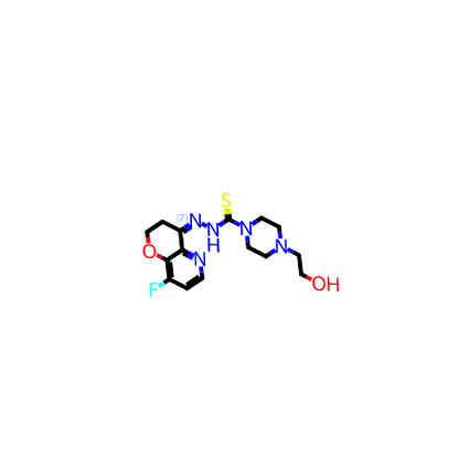 OCCN1CCN(C(=S)N/N=C2/CCOc3c(F)ccnc32)CC1